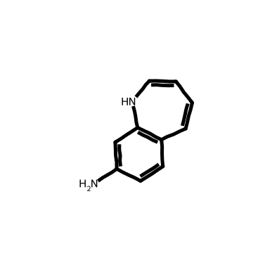 Nc1ccc2c(c1)NC=CC=C2